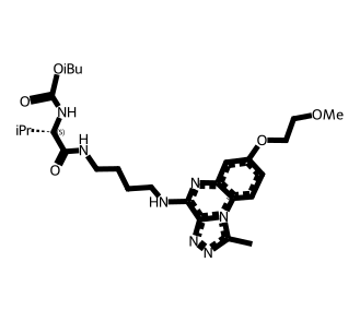 COCCOc1ccc2c(c1)nc(NCCCCNC(=O)[C@@H](NC(=O)OCC(C)C)C(C)C)c1nnc(C)n12